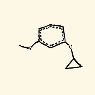 CSc1cccc(OC2CC2)c1